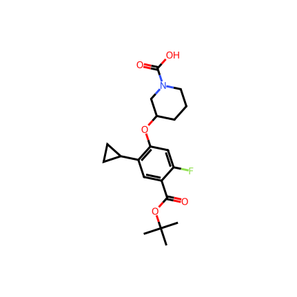 CC(C)(C)OC(=O)c1cc(C2CC2)c(OC2CCCN(C(=O)O)C2)cc1F